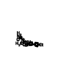 CCc1ccc(-c2ccc(C(=O)N[C@H](CNOC(N)=O)[C@@H](C)O)cc2)cc1